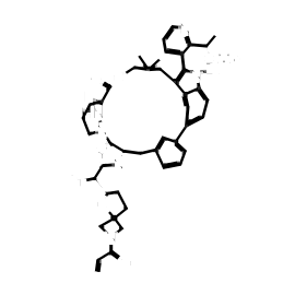 C=CC(=O)N1CC2(CC[C@H](C(C(=O)N[C@H]3Cc4cccc(c4)-c4ccc5c(c4)c(c(-c4cccnc4[C@H](C)OC)n5CC)CC(C)(C)COC(=O)[C@@H]4CCCN(N4)C3=O)C(C)C)O2)C1